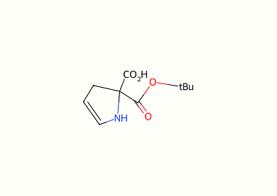 CC(C)(C)OC(=O)C1(C(=O)O)CC=CN1